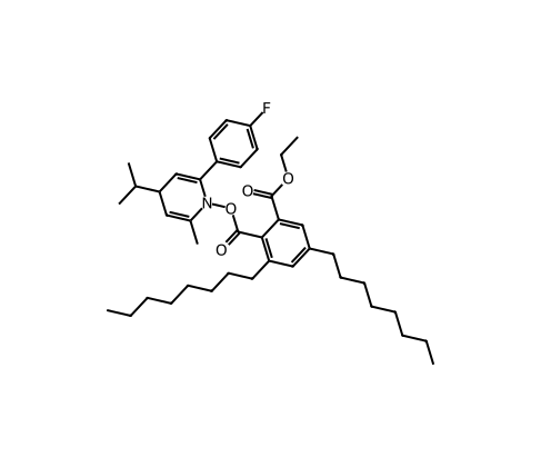 CCCCCCCCc1cc(CCCCCCCC)c(C(=O)ON2C(C)=CC(C(C)C)C=C2c2ccc(F)cc2)c(C(=O)OCC)c1